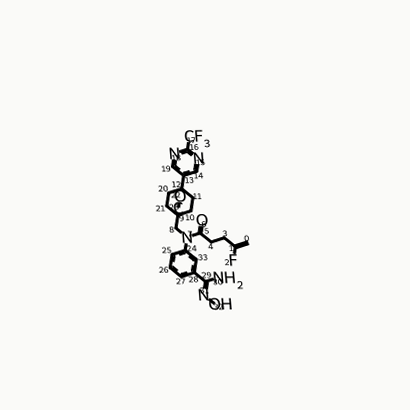 C=C(F)CCC(=O)N(CC12CCC(c3cnc(C(F)(F)F)nc3)(CC1)OC2)c1cccc(/C(N)=N/O)c1